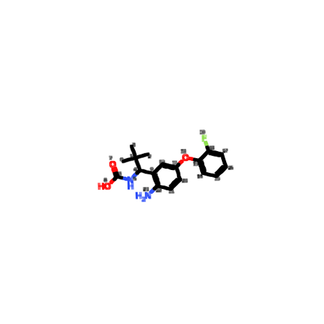 CC(C)(C)C(NC(=O)O)c1cc(Oc2ccccc2F)ccc1N